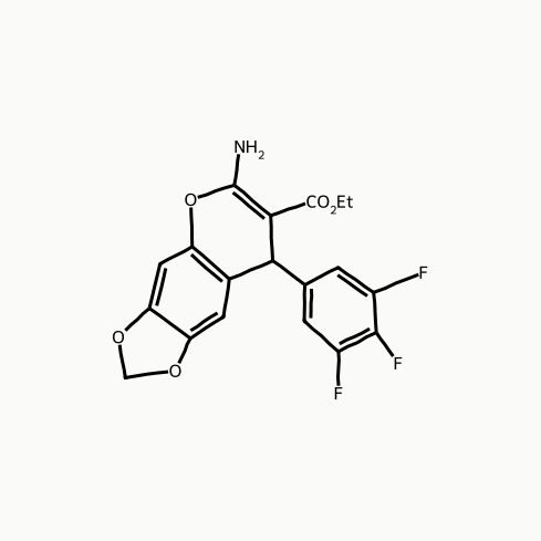 CCOC(=O)C1=C(N)Oc2cc3c(cc2C1c1cc(F)c(F)c(F)c1)OCO3